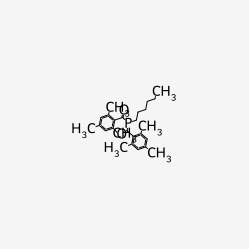 CCCCCCP(C(=O)c1c(C)cc(C)cc1C)C(=O)c1c(C)cc(C)cc1C